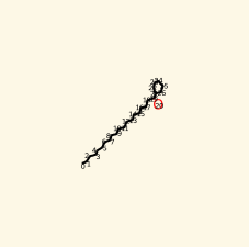 CCCCCCCCCCCCCCCCCCCC(=O)C1CCCCC1